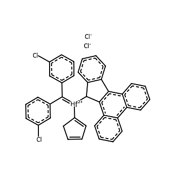 Clc1cccc([C](c2cccc(Cl)c2)=[Hf+2]([C]2=CC=CC2)[CH]2c3ccccc3-c3c2c2ccccc2c2ccccc32)c1.[Cl-].[Cl-]